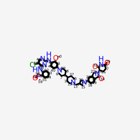 COc1cc(N2CCC(C3CCN(CC4CN(c5ccc6c(c5)CN(C5CCC(=O)NC5=O)C6=O)C4)CC3)CC2)ccc1Nc1ncc(Cl)c(Nc2ccccc2P(C)(C)=O)n1